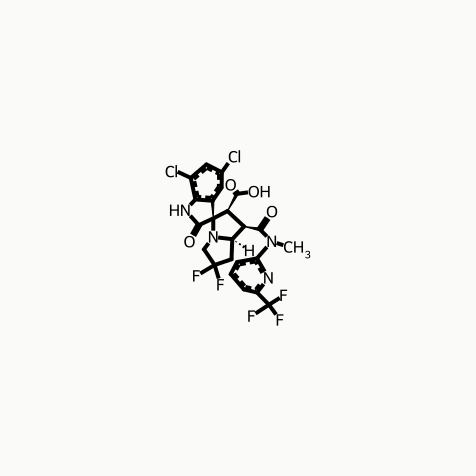 CN(C(=O)[C@H]1[C@H]2CC(F)(F)CN2[C@]2(C(=O)Nc3c(Cl)cc(Cl)cc32)[C@H]1C(=O)O)c1cccc(C(F)(F)F)n1